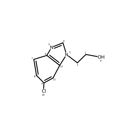 OCCn1cnc2ccc(Cl)cc21